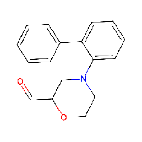 O=CC1CN(c2ccccc2-c2ccccc2)CCO1